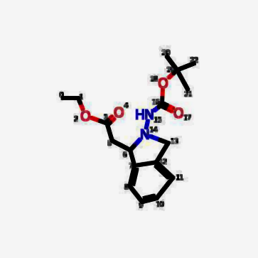 CCOC(=O)CC1c2ccccc2CN1NC(=O)OC(C)(C)C